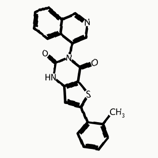 Cc1ccccc1-c1cc2[nH]c(=O)n(-c3cncc4ccccc34)c(=O)c2s1